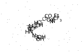 C=C(C)[C@@H]1CC[C@]2(NCCN3CCS(O)(O)CC3)CC[C@]3(C)[C@H](CC[C@@H]4[C@@]5(C)CC=C(C6=CCC(COc7cc(C(F)(F)F)n(C)n7)(C(=O)OCC)CC6)C(C)(C)[C@@H]5CC[C@]43C)[C@@H]12